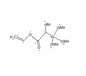 C=COC(=O)C(CCCC)[Si](OC)(OC)OC